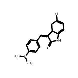 CN(C)c1ccc(C=C2C(=O)NC3=CC=C(Cl)CC32)cc1